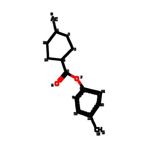 CC(=O)C1CCC(C(=O)Oc2ccc(C)cc2)CC1